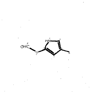 Cc1c[nH]c(OC=O)c1